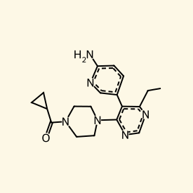 CCc1ncnc(N2CCN(C(=O)C3CC3)CC2)c1-c1ccc(N)nc1